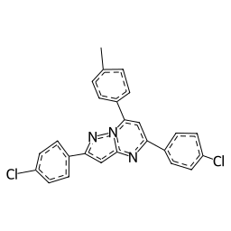 Cc1ccc(-c2cc(-c3ccc(Cl)cc3)nc3cc(-c4ccc(Cl)cc4)nn23)cc1